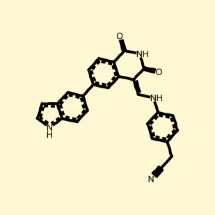 N#CCc1ccc(N/C=C2\C(=O)NC(=O)c3ccc(-c4ccc5[nH]ccc5c4)cc32)cc1